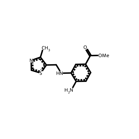 COC(=O)c1ccc(N)c(NCc2scnc2C)c1